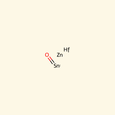 [Hf].[O]=[Sn].[Zn]